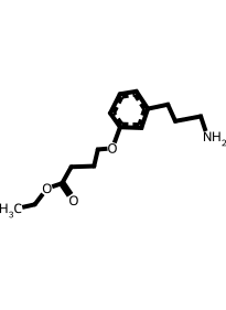 CCOC(=O)CCCOc1cccc(CCCN)c1